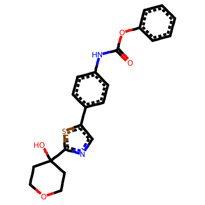 O=C(Nc1ccc(-c2cnc(C3(O)CCOCC3)s2)cc1)Oc1ccccc1